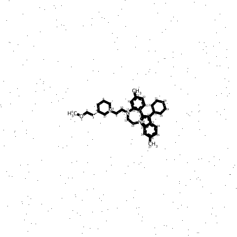 COCC[C@@H]1CCCN(CCN2CCn3c(c(C4CCCCC4)c4ccc(C)cc43)-c3ccc(C)cc32)C1